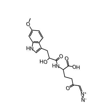 COc1ccc2c(CC(O)C(=O)NC(CCC(=O)C=[N+]=[N-])C(=O)O)c[nH]c2c1